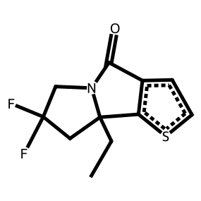 CCC12CC(F)(F)CN1C(=O)c1ccsc12